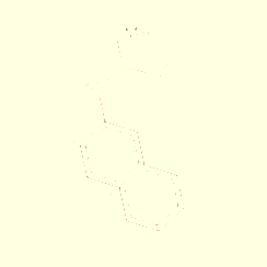 COP(OF)Oc1ccc2ccccc2c1